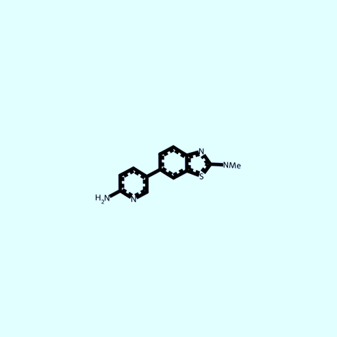 CNc1nc2ccc(-c3ccc(N)nc3)cc2s1